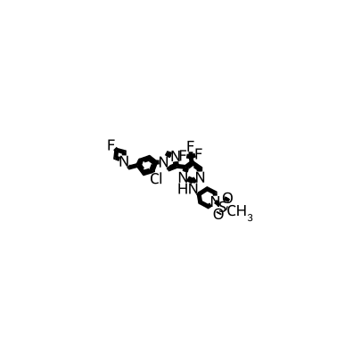 CS(=O)(=O)N1CCC(Nc2ncc(C(F)(F)F)c(-c3cn(-c4ccc(CN5CC(F)C5)cc4Cl)cn3)n2)CC1